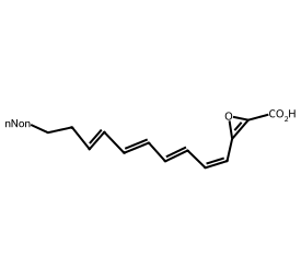 CCCCCCCCCCCC=CC=CC=C/C=C\C1=C(C(=O)O)O1